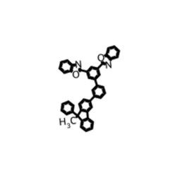 CC1(c2ccccc2)c2ccccc2-c2cc(-c3cccc(-c4cc(-c5nc6ccccc6o5)cc(-c5nc6ccccc6o5)c4)c3)ccc21